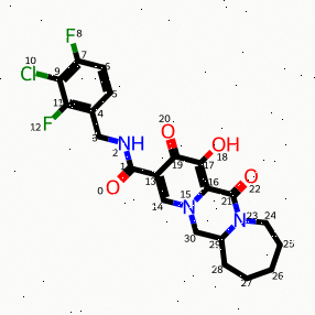 O=C(NCc1ccc(F)c(Cl)c1F)c1cn2c(c(O)c1=O)C(=O)N1CCCCCC1C2